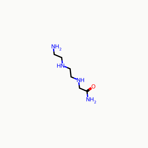 NCCNCCNCC(N)=O